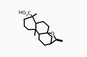 C=C1OC23CCC4C(C)(C(=O)O)CCCC4(C)C2CCC1C3